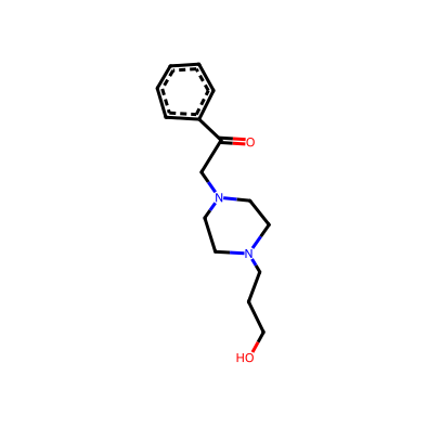 O=C(CN1CCN(CCCO)CC1)c1ccccc1